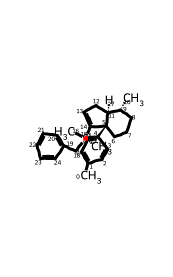 Cc1ccc([C@]23CCC[C@@H](C)[C@@H]2CC=C3[Si](C)(C)Cc2ccccc2)cc1